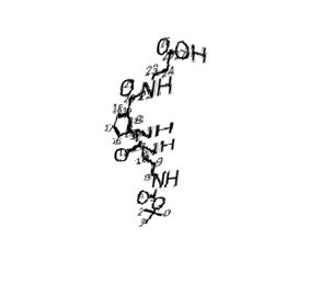 CC(C)(C)OC(=O)NCCCNC(=O)Nc1cccc(C(=O)NCCC(=O)O)c1